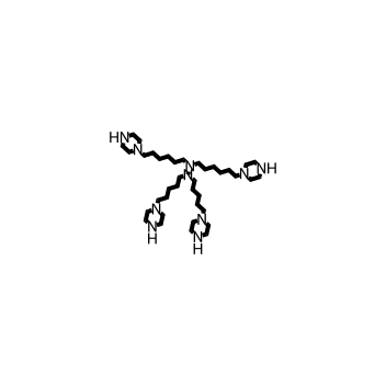 C(CCCN(CCCCCCN1CCNCC1)N(CCCCCN1CCNCC1)CCCCCN1CCNCC1)CCN1CCNCC1